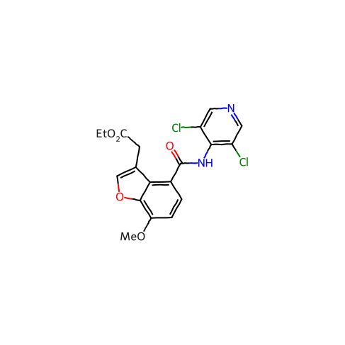 CCOC(=O)Cc1coc2c(OC)ccc(C(=O)Nc3c(Cl)cncc3Cl)c12